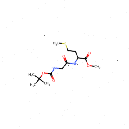 COC(=O)C(CCSC)NC(=O)CNC(=O)OC(C)(C)C